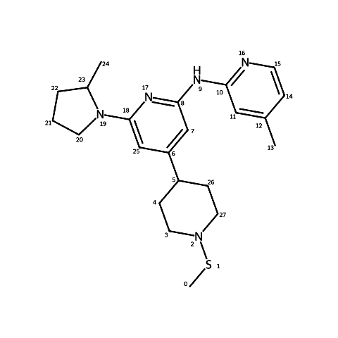 CSN1CCC(c2cc(Nc3cc(C)ccn3)nc(N3CCCC3C)c2)CC1